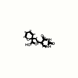 O=C(O)C1(CCc2c[nH]c(=O)[nH]c2=O)C=CC=CO1